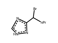 CCCC(Br)c1nc[nH]n1